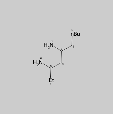 CCCCCC(N)CC(N)CC